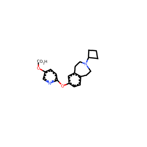 O=C(O)Oc1ccc(Oc2ccc3c(c2)CCN(C2CCC2)CC3)nc1